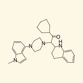 Cn1ccc2c(N3CCN(C(C(=O)C4CCCCC4)C4CCc5ccccc5N4)CC3)cccc21